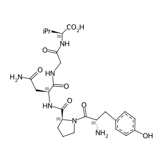 CC(C)[C@H](NC(=O)CNC(=O)[C@H](CC(N)=O)NC(=O)[C@@H]1CCCN1C(=O)[C@@H](N)Cc1ccc(O)cc1)C(=O)O